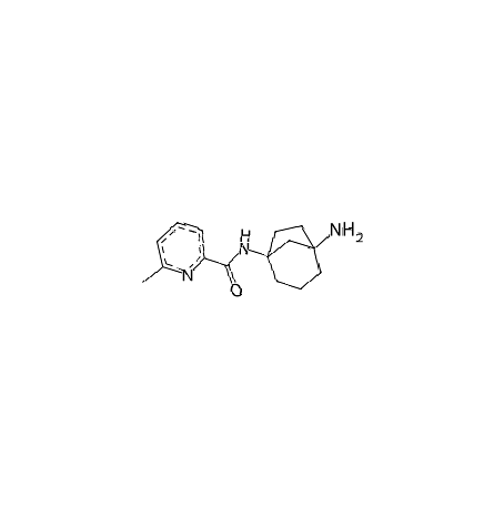 Cc1cccc(C(=O)NC23CCCC(N)(CC2)C3)n1